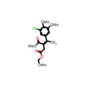 COCOC(=O)C/C(C(=O)OC)=C(\C)c1cc(Cl)c(OC)c(OC)c1